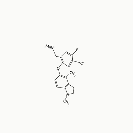 CNCc1cc(F)c(Cl)cc1Oc1ccc2c(c1C)CCN2C